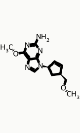 COC[C@@H]1C=C[C@H](n2cnc3c(OC)nc(N)nc32)C1